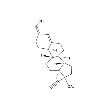 C#CC1(OC(C)=O)CC[C@H]2[C@@H]3CCC4=C/C(=N\O)CC[C@@H]4[C@H]3CC[C@@]21C